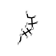 FCOC(F)(F)C(F)(F)OC(F)(F)C(F)CF